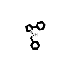 c1ccc(CNn2cccc2-c2ccccc2)cc1